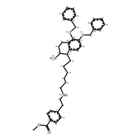 COC(=O)c1ccc(CCNCCCCCCC2c3ccc(OCc4ccccc4)c(OCc4ccccc4)c3CCC2N)cc1